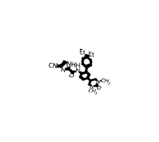 [C-]#[N+]c1c[nH]c(C(=O)Nc2ccc(C3CN(C)C(=O)N(C)C3)cc2C2=CCC(CC)(CC)CC2)n1